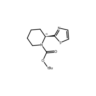 CC(C)(C)OC(=O)N1CCCC[C@H]1c1nccs1